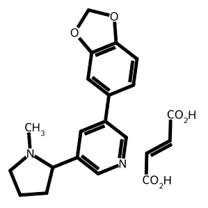 CN1CCCC1c1cncc(-c2ccc3c(c2)OCO3)c1.O=C(O)C=CC(=O)O